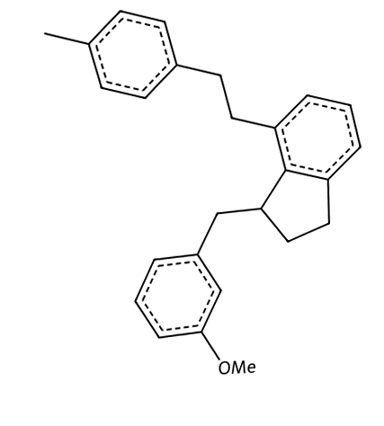 COc1cccc(CC2CCc3cccc(CCc4ccc(C)cc4)c32)c1